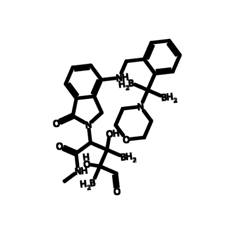 BC(B)(c1ccccc1CNc1cccc2c1CN(C(C(=O)NC)C(B)(O)C(B)(O)C=O)C2=O)N1CCOCC1